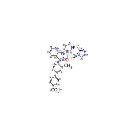 Cc1cc(-c2ccc(C(=O)O)cc2)ccc1-n1c(=O)n([C@@H]2CCN(Cc3nccn3C)C2)c2ncccc21